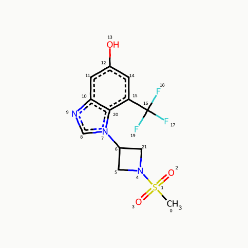 CS(=O)(=O)N1CC(n2cnc3cc(O)cc(C(F)(F)F)c32)C1